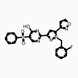 O=S(=O)(c1ccccc1)c1cnc(-c2cc(-c3ccon3)n(Cc3ccccc3F)n2)nc1O